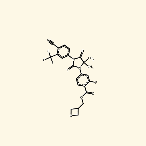 CC1(C)C(=O)N(c2ccc(C#N)c(C(F)(F)F)c2)C(=S)N1c1ccc(C(=O)OCC2COC2)c(F)c1